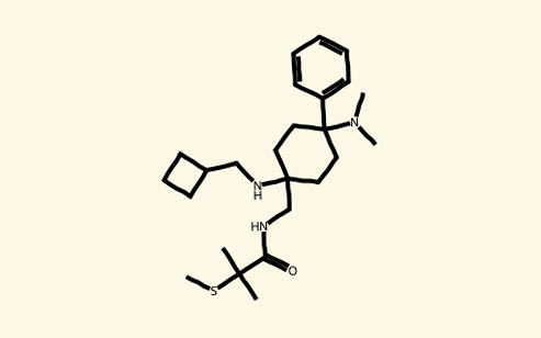 CSC(C)(C)C(=O)NCC1(NCC2CCC2)CCC(c2ccccc2)(N(C)C)CC1